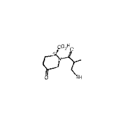 CC(CS)C(=O)N1CC(=O)CC[C@H]1C(=O)O